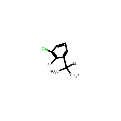 CCc1c(Cl)cccc1C(CC)(C(=O)O)C(=O)O